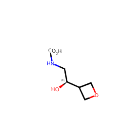 O=C(O)NC[C@H](O)C1COC1